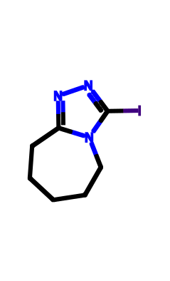 Ic1nnc2n1CCCCC2